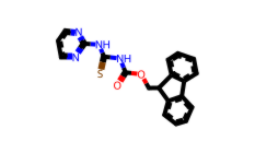 O=C(NC(=S)Nc1ncccn1)OCC1c2ccccc2-c2ccccc21